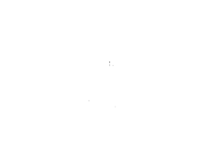 CC(C)(C)C(C)(c1ccccn1)C(C)(C)C